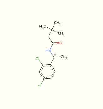 C[C@@H](NC(=O)CC(C)(C)C)c1ccc(Cl)cc1Cl